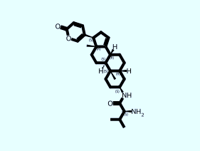 CC(C)[C@H](N)C(=O)N[C@H]1CC[C@@]2(C)[C@H](CC[C@H]3C4=CC[C@H](c5ccc(=O)oc5)[C@@]4(C)CC[C@@H]32)C1